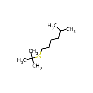 CC(C)CCCCSC(C)(C)C